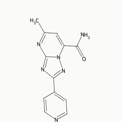 Cc1cc(C(N)=O)n2nc(-c3ccncc3)nc2n1